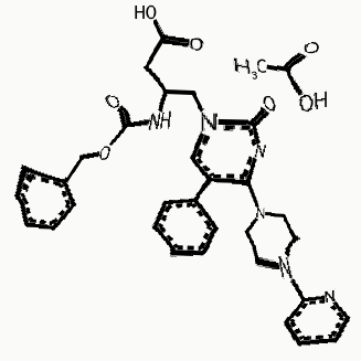 CC(=O)O.O=C(O)CC(Cn1cc(-c2ccccc2)c(N2CCN(c3ccccn3)CC2)nc1=O)NC(=O)OCc1ccccc1